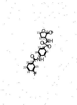 O=C(Nc1ccc(S(=O)(=O)NC2CCOC2=O)cc1)c1cccc(F)c1